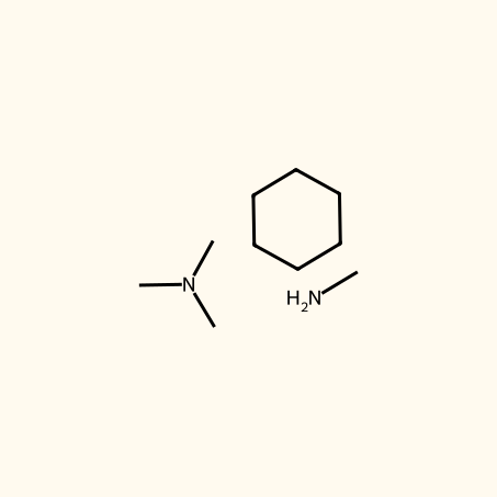 C1CCCCC1.CN.CN(C)C